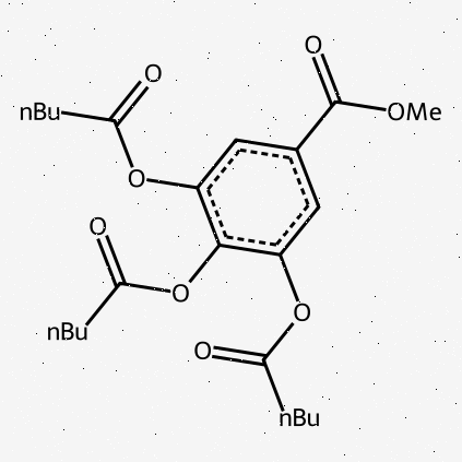 CCCCC(=O)Oc1cc(C(=O)OC)cc(OC(=O)CCCC)c1OC(=O)CCCC